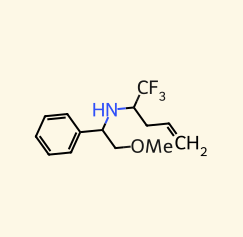 C=CCC(NC(COC)c1ccccc1)C(F)(F)F